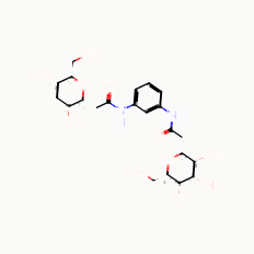 O=C(C[C@H]1O[C@H](CO)[C@@H](O)[C@H](O)[C@@H]1O)Nc1cccc(NC(=O)C[C@H]2O[C@H](CO)[C@@H](O)C[C@@H]2O)c1